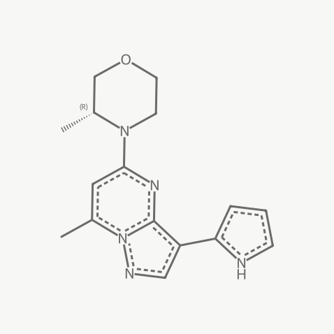 Cc1cc(N2CCOC[C@H]2C)nc2c(-c3ccc[nH]3)cnn12